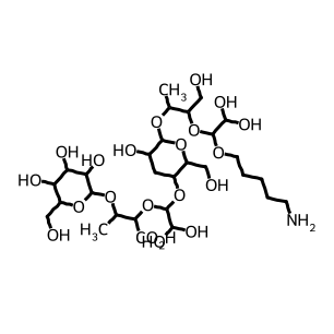 CC(OC1OC(CO)C(OC(OC(C(=O)O)C(C)OC2OC(CO)C(O)C(O)C2O)C(O)O)CC1O)C(CO)OC(OCCCCCN)C(O)O